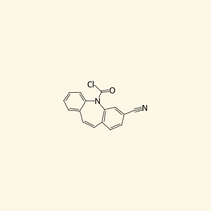 N#Cc1ccc2c(c1)N(C(=O)Cl)c1ccccc1C=C2